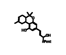 CCCCCC(O)/C=C/c1cc(O)c2c(c1)OC(C)(C)C1CC=C(C)CC21